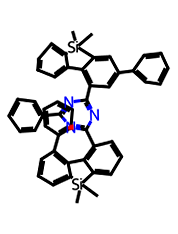 C[Si]1(C)c2ccccc2-c2c(-c3nc(-c4ccccc4)nc(-c4cccc5c4-c4c(-c6ccccc6)cccc4[Si]5(C)C)n3)cc(-c3ccccc3)cc21